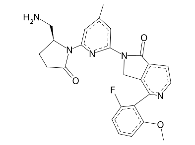 COc1cccc(F)c1-c1nccc2c1CN(c1cc(C)cc(N3C(=O)CC[C@H]3CN)n1)C2=O